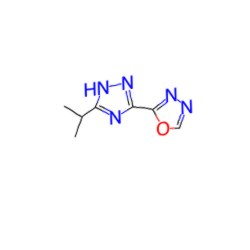 CC(C)c1nc(-c2nnco2)n[nH]1